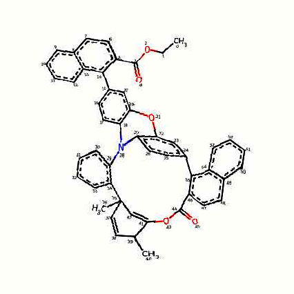 CCOC(=O)c1ccc2ccccc2c1-c1ccc2c(c1)Oc1cc3ccc1N2c1ccccc1C1(C)C=CC(C)C(=C1)OC(=O)c1ccc2ccccc2c1-3